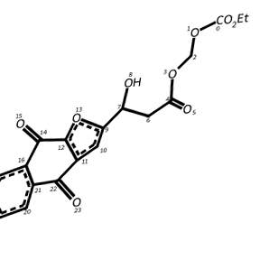 CCOC(=O)OCOC(=O)CC(O)c1cc2c(o1)C(=O)c1ccccc1C2=O